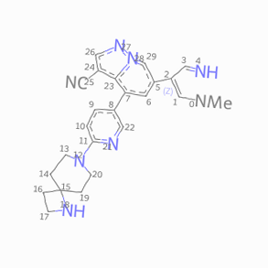 CN/C=C(\C=N)c1cc(-c2ccc(N3CCC4(CCN4)CC3)nc2)c2c(C#N)cnn2c1